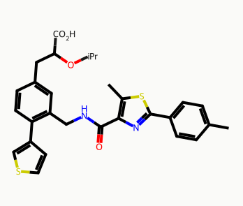 Cc1ccc(-c2nc(C(=O)NCc3cc(CC(OC(C)C)C(=O)O)ccc3-c3ccsc3)c(C)s2)cc1